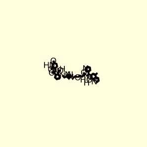 Cc1cc(C(NC(=O)CCOCCn2cc(CNc3cccc4c3C(=O)N(C3CCC(=O)NC3=O)C4=O)nn2)c2cccnc2)c(O)c2ncccc12